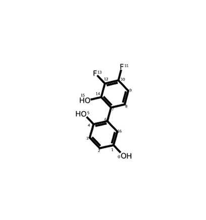 Oc1ccc(O)c(-c2ccc(F)c(F)c2O)c1